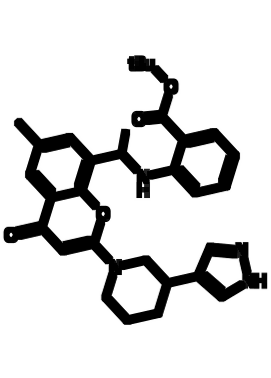 Cc1cc(C(C)Nc2ccccc2C(=O)OC(C)(C)C)c2oc(N3CCCC(c4cn[nH]c4)C3)cc(=O)c2c1